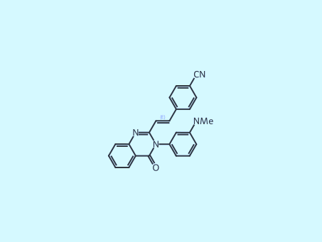 CNc1cccc(-n2c(/C=C/c3ccc(C#N)cc3)nc3ccccc3c2=O)c1